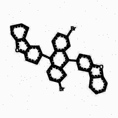 Brc1ccc2c(-c3ccc4oc5ccccc5c4c3)c3ccc(Br)cc3c(-c3ccc4oc5ccccc5c4c3)c2c1